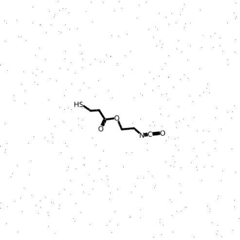 O=C=NCCOC(=O)CCS